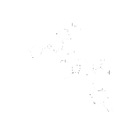 Cn1c(SCC2(C(=O)O)CS[C@@H]3C(NC(=O)C(=NOC4CCCC4)c4nsc(N)n4)C(=O)N3C2)nnc(O)c1=O